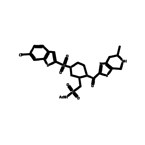 CC(=O)NS(=O)(=O)CC1CN(S(=O)(=O)c2cc3ccc(Cl)cc3s2)CCN1C(=O)c1nc2c(s1)CNC(C)C2